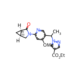 CCOC(=O)c1cnn(C(C)c2cnc(N3C[C@H]4C[C@H]4C3=O)cc2OC)c1